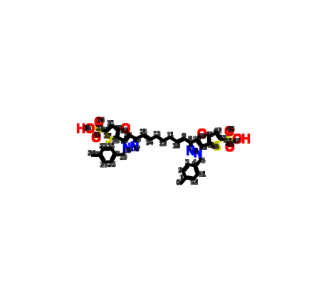 Cc1ccc(Cn2nc(/C=C/CCC/C=C/c3nn(Cc4ccc(C)cc4)c4c3oc3cc(S(=O)(=O)O)sc34)c3oc4cc(S(=O)(=O)O)sc4c32)cc1